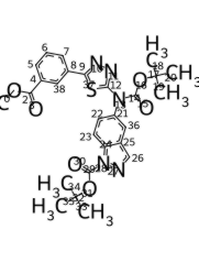 COC(=O)c1cccc(-c2nnc(N(C(=O)OC(C)(C)C)c3ccc4c(cnn4C(=O)OC(C)(C)C)c3)s2)c1